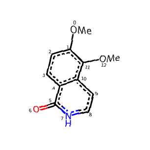 COc1ccc2c(=O)[nH]ccc2c1OC